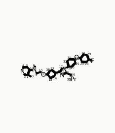 Cc1cnccc1N(C)CCOc1ccc(-c2cn(-c3ccc(Oc4ccc(F)cc4)cc3)c(CC(C)C)n2)cc1